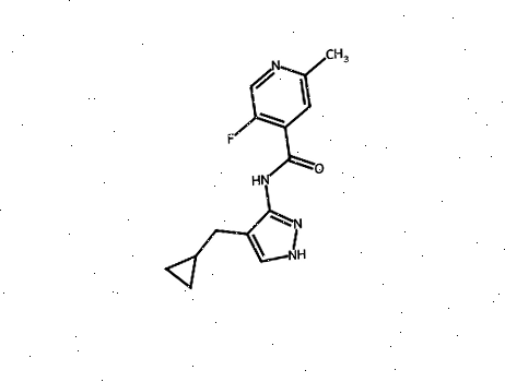 Cc1cc(C(=O)Nc2n[nH]cc2CC2CC2)c(F)cn1